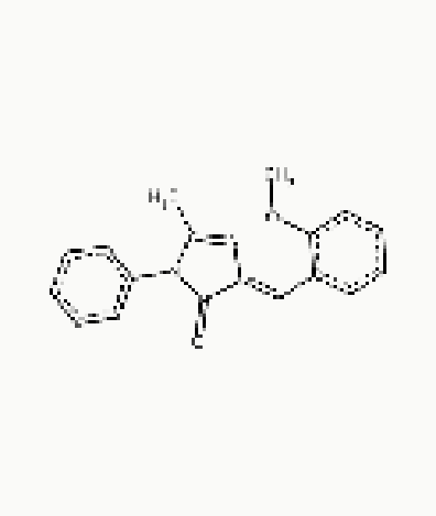 COc1ccccc1/C=C1\N=C(C)N(c2ccccc2)C1=O